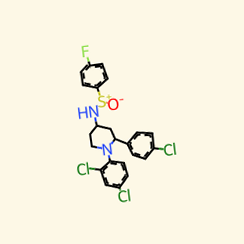 [O-][S+](NC1CCN(c2ccc(Cl)cc2Cl)C(c2ccc(Cl)cc2)C1)c1ccc(F)cc1